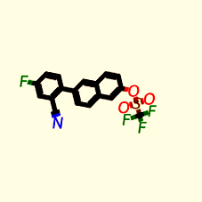 N#Cc1cc(F)ccc1-c1ccc2cc(OS(=O)(=O)C(F)(F)F)ccc2c1